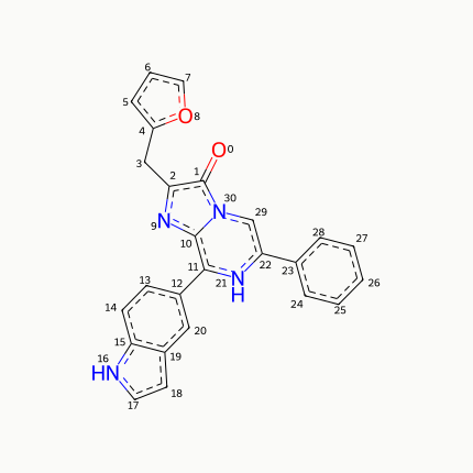 O=c1c(Cc2ccco2)nc2c(-c3ccc4[nH]ccc4c3)[nH]c(-c3ccccc3)cn1-2